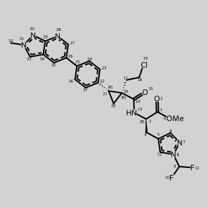 COC(=O)[C@@H](Cc1cnn(C(F)F)c1)NC(=O)[C@@]1(CCCl)C[C@@H]1c1ccc(-c2cnc3nn(C)cc3c2)cc1